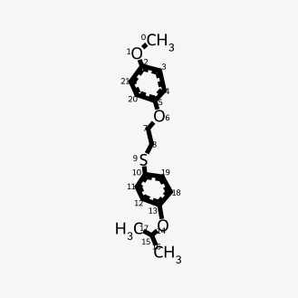 COc1ccc(OCCSc2ccc(OC(C)C)cc2)cc1